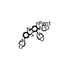 CCCCCc1cc2nc3ccc(N4CCOCC4)cc3sc-2c(N2CCOCC2)c1=[N+]1CCOCC1